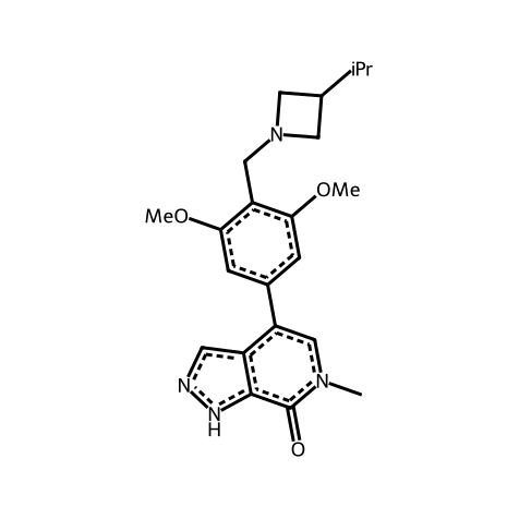 COc1cc(-c2cn(C)c(=O)c3[nH]ncc23)cc(OC)c1CN1CC(C(C)C)C1